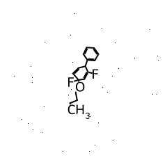 CCCCOC1(F)C=CC(c2ccccc2)C(F)=C1